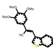 COc1cc(/C(C#N)=C/c2csc3ccccc23)cc(OC)c1OC